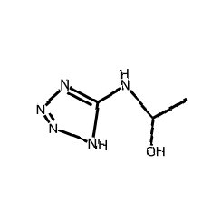 CC(O)Nc1nnn[nH]1